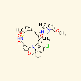 COCCN1CCN(C[C@]2(OC)/C=C/C[C@H](C)[C@@H](C)S(=O)(=O)NC(=O)c3ccc4c(c3)N(C[C@@H]3CC[C@H]32)C[C@@]2(CCCc3cc(Cl)ccc32)CO4)CC1(C)C